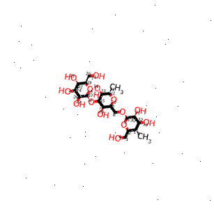 C[C@@H]1C(CO)O[C@H](OCC2O[C@@H](C)[C@H](O)C(O[C@H]3O[C@H](CO)[C@@H](O)C(O)C3O)[C@@H]2O)[C@H](O)C1O